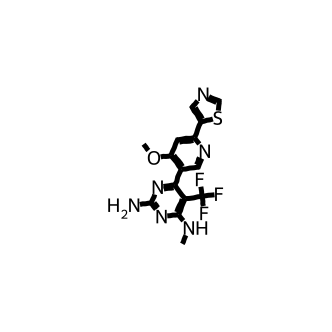 CNc1nc(N)nc(-c2cnc(-c3cncs3)cc2OC)c1C(F)(F)F